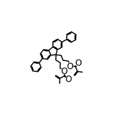 C=C(C)C(=O)OCCCC1(CCCOC(=O)C(=C)C)c2cc(-c3ccccc3)ccc2-c2ccc(-c3ccccc3)cc21